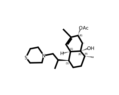 CC(=O)O[C@@H]1[CH][C@@]2(O)[C@H](C)CC[C@@H](C(C)CN3CCSCC3)[C@H]2C=C1C